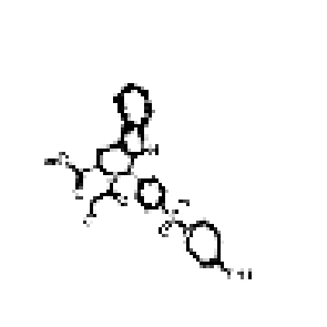 COC(=O)[C@H]1Cc2c([nH]c3ccccc23)[C@H](c2ccc(S(=O)(=O)N3CCC(O)CC3)cc2)N1C(=O)CCl